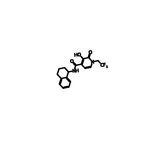 O=C(NC1CCCc2ccccc21)c1ccn(CC(F)(F)F)c(=O)c1O